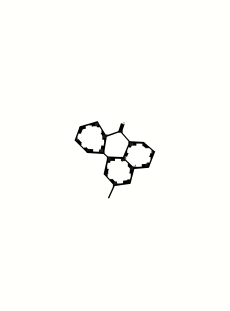 Cc1cc2c3c(cccc3c1)C(=O)c1ccccc1-2